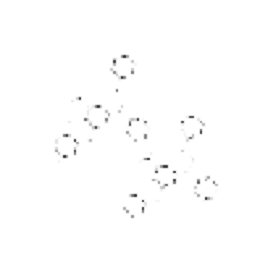 CC(CC(c1ccccc1)c1cc(C(=O)[O-])c(O)c(C(C)c2ccccc2)c1)c1ccccc1.CC(CC(c1ccccc1)c1cc(C(=O)[O-])c(O)c(C(C)c2ccccc2)c1)c1ccccc1.[Zn+2]